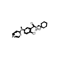 CN(c1ccc(Cl)c(C(=O)NCC2(O)CCCCC2)c1)c1ccncn1